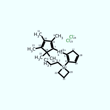 CCC[Si]1(C2=[C]([Hf+2][C]3=C(C)C(C)=C(C)C3(C)C)CC=C2)CCC1.[Cl-].[Cl-]